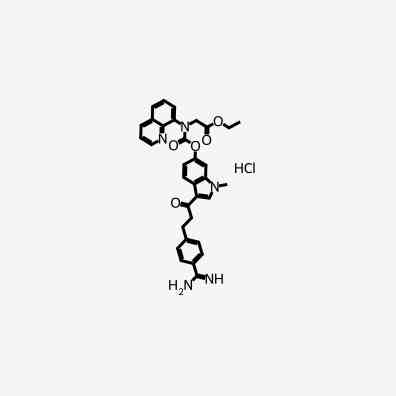 CCOC(=O)CN(C(=O)Oc1ccc2c(C(=O)CCc3ccc(C(=N)N)cc3)cn(C)c2c1)c1cccc2cccnc12.Cl